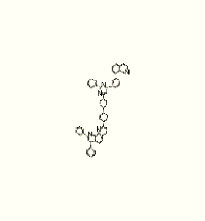 c1ccc(-c2cc(-c3ccccc3)c3ccc4ccc(-c5ccc(-c6ccc(-c7cc(-c8cccc(-c9cccc%10ccncc9%10)c8)nc(-c8ccccc8)n7)cc6)cc5)nc4c3n2)cc1